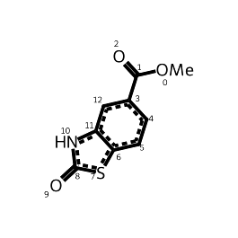 COC(=O)c1ccc2sc(=O)[nH]c2c1